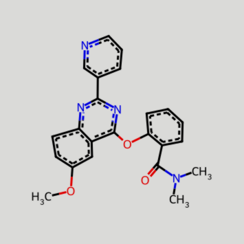 COc1ccc2nc(-c3cccnc3)nc(Oc3ccccc3C(=O)N(C)C)c2c1